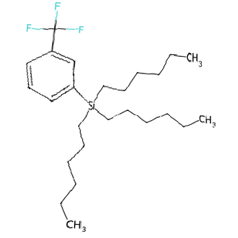 CCCCCC[Si](CCCCCC)(CCCCCC)c1cccc(C(F)(F)F)c1